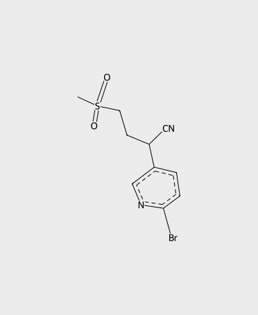 CS(=O)(=O)CCC(C#N)c1ccc(Br)nc1